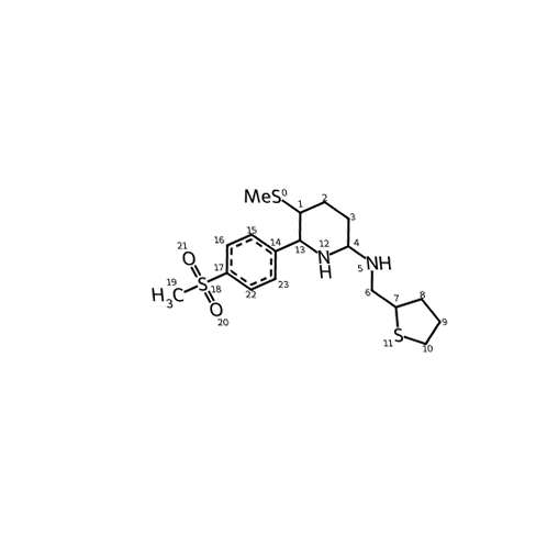 CSC1CCC(NCC2CCCS2)NC1c1ccc(S(C)(=O)=O)cc1